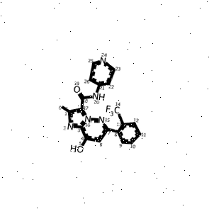 Cc1nc2c(O)cc(-c3ccccc3C(F)(F)F)nn2c1C(=O)Nc1ccncc1